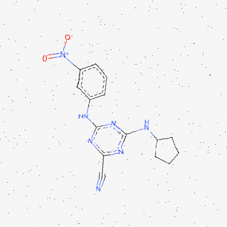 N#Cc1nc(Nc2cccc([N+](=O)[O-])c2)nc(NC2CCCC2)n1